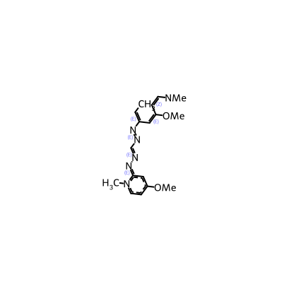 C/C=C(\C=C(/C=C\NC)OC)/N=N/C=N/N=c1\cc(OC)ccn1C